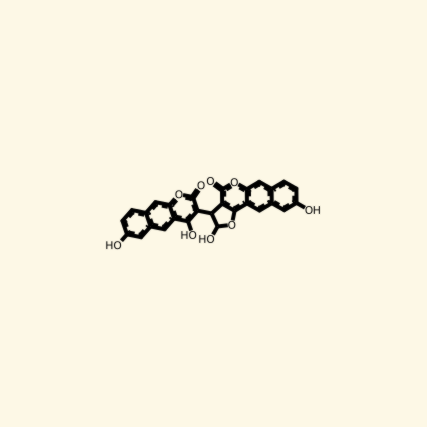 O=c1oc2cc3ccc(O)cc3cc2c(O)c1C1c2c(c3cc4cc(O)ccc4cc3oc2=O)OC1O